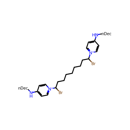 CCCCCCCCCCNc1cc[n+](C(Br)CCCCCCCC(Br)[n+]2ccc(NCCCCCCCCCC)cc2)cc1